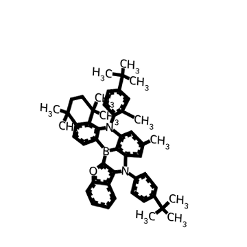 Cc1cc2c3c(c1)N(c1ccc(C(C)(C)C)cc1)c1c(oc4ccccc14)B3c1ccc3c(c1N2c1ccc(C(C)(C)C)cc1C)C(C)(C)CCC3(C)C